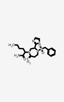 C=C1CCN(S(=O)(=O)Cc2ccccc2)C(c2nccs2)CN1C(CCCC)C(N)=O